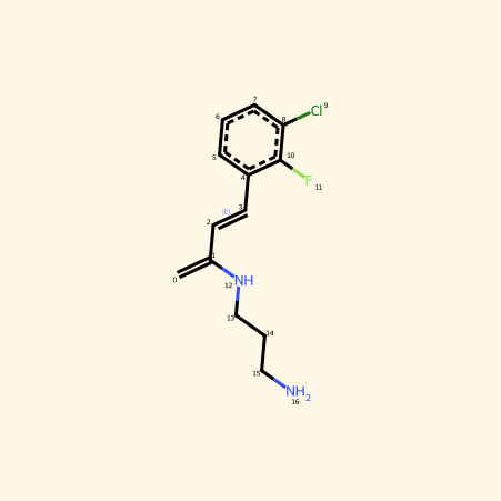 C=C(/C=C/c1cccc(Cl)c1F)NCCCN